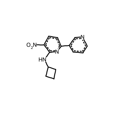 O=[N+]([O-])c1ccc(-c2cccnc2)nc1NC1CCC1